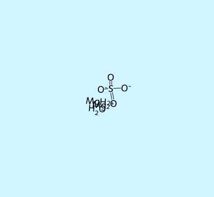 O.O=S(=O)([O-])[O-].[Mg+2].[MgH2]